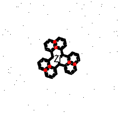 c1ccc([CH](c2ccccc2)[Zr]([CH](c2ccccc2)c2ccccc2)[CH](c2ccccc2)c2ccccc2)cc1